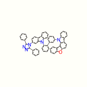 c1ccc(-c2nnc(-c3ccccc3)n2-c2ccc3c4ccccc4n(-c4ccccc4-c4cccc(-n5c6ccccc6c6ccc7oc8ccccc8c7c65)c4)c3c2)cc1